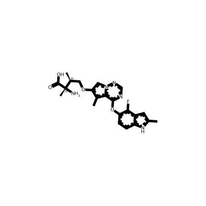 Cc1cc2c(F)c(Oc3ncnn4cc(OC[C@H](C)[C@](C)(N)C(=O)O)c(C)c34)ccc2[nH]1